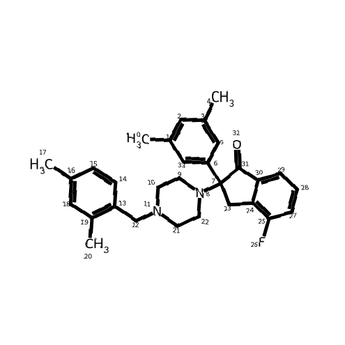 Cc1cc(C)cc(C2(N3CCN(Cc4ccc(C)cc4C)CC3)Cc3c(F)cccc3C2=O)c1